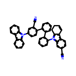 N#Cc1ccc2c3c(n(-c4ccccc4-c4ccccc4-c4ccc(-n5c6ccccc6c6ccccc65)cc4C#N)c2c1)CCC=C3